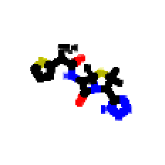 CC1(C)S[C@@H]2C(NC(=O)C(C(=O)O)c3cccs3)C(=O)N2C1c1nnn[nH]1